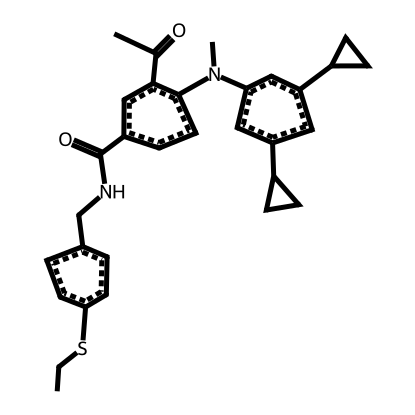 CCSc1ccc(CNC(=O)c2ccc(N(C)c3cc(C4CC4)cc(C4CC4)c3)c(C(C)=O)c2)cc1